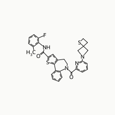 Cc1cccc(F)c1NC(=O)c1cc2c(s1)-c1ccccc1N(C(=O)c1cccc(N3CC4(CCS4)C3)n1)CC2